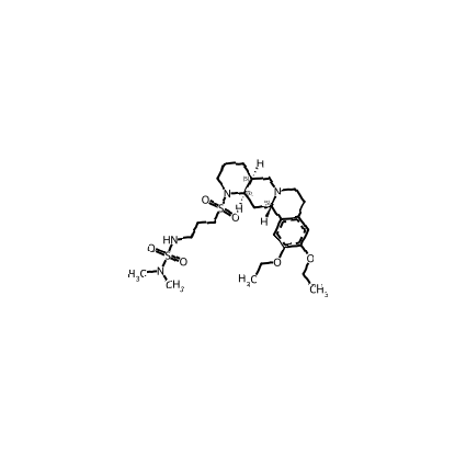 CCOc1cc2c(cc1OCC)[C@@H]1C[C@@H]3[C@@H](CCCN3S(=O)(=O)CCCNS(=O)(=O)N(C)C)CN1CC2